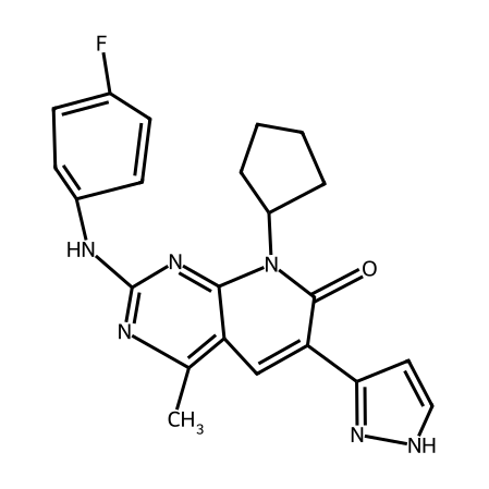 Cc1nc(Nc2ccc(F)cc2)nc2c1cc(-c1cc[nH]n1)c(=O)n2C1CCCC1